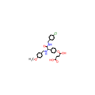 COc1ccc(CNC(C(=O)NCc2ccc(Cl)cc2)c2ccccc2)cc1.O=C(O)/C=C/C(=O)O